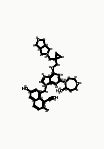 C#Cc1c(F)ccc2cc(O)cc(Cn3cnc4c(OCC5(CN6CC7COCC7C6)CC5)nc(N5CCOCCC5C)nc43)c12